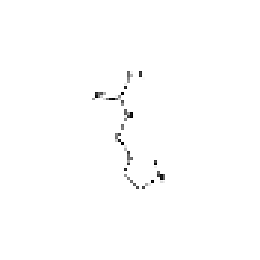 NC(=O)NON1CCNC1